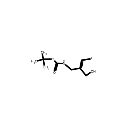 CC(C)(C)OC(=O)NCC(=CF)CO